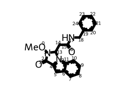 CON1C(=O)c2cc3ccccc3n2C1CC(=O)NCc1ccccc1